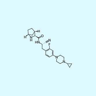 N#C[C@H](Cc1ccc(N2CCN(C3CC3)CC2)cc1F)NC(=O)[C@H]1N[C@@H]2CC[C@H]1C2